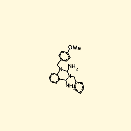 COc1ccc(CN2c3ccccc3C(N)N(Cc3ccccc3)C2N)cc1